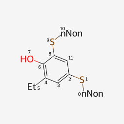 CCCCCCCCCSc1cc(CC)c(O)c(SCCCCCCCCC)c1